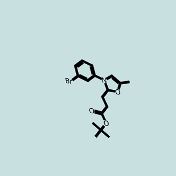 CC1=CN(c2cccc(Br)c2)C(CCC(=O)OC(C)(C)C)O1